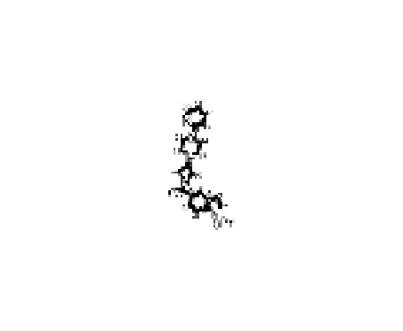 CCCn1ccc2cc(C(=O)N3CC(N4CCN(c5ccccn5)CC4)C3)ccc21